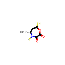 O=C1OC(S)C[C@@H](C(=O)O)N([S])C1=O